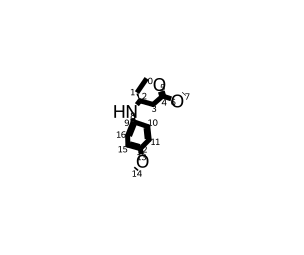 CC[C@H](CC(=O)OC)Nc1ccc(OC)cc1